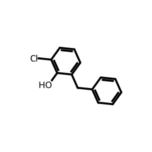 Oc1c(Cl)cccc1Cc1ccccc1